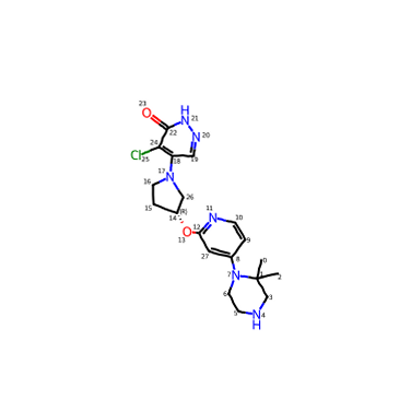 CC1(C)CNCCN1c1ccnc(O[C@@H]2CCN(c3cn[nH]c(=O)c3Cl)C2)c1